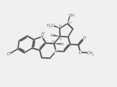 COC(=O)C1=CN2CCc3c([nH]c4ccc(Cl)cc34)[C@@H]2[C@H]2C1C[C@H](O)[C@@H]2C